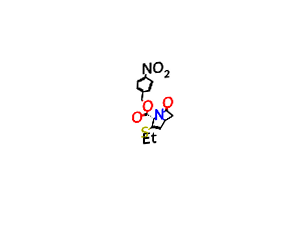 CCSC1=CC2CC(=O)N2[C@H]1C(=O)OCc1ccc([N+](=O)[O-])cc1